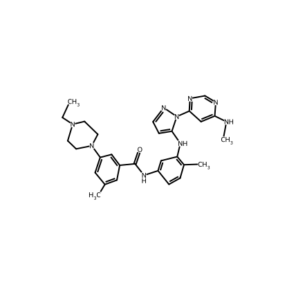 CCN1CCN(c2cc(C)cc(C(=O)Nc3ccc(C)c(Nc4ccnn4-c4cc(NC)ncn4)c3)c2)CC1